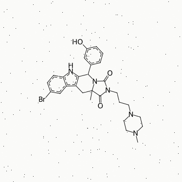 CN1CCN(CCCN2C(=O)N3C(c4cccc(O)c4)c4[nH]c5ccc(Br)cc5c4CC3(C)C2=O)CC1